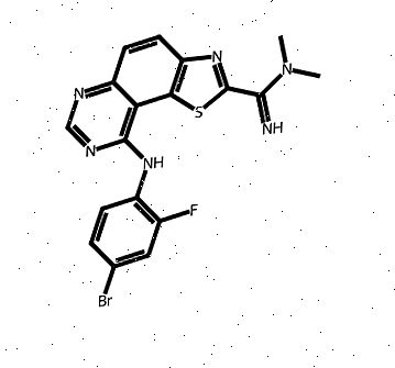 CN(C)C(=N)c1nc2ccc3ncnc(Nc4ccc(Br)cc4F)c3c2s1